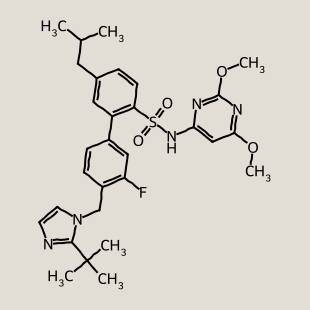 COc1cc(NS(=O)(=O)c2ccc(CC(C)C)cc2-c2ccc(Cn3ccnc3C(C)(C)C)c(F)c2)nc(OC)n1